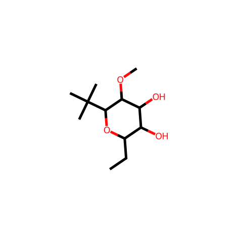 CCC1OC(C(C)(C)C)C(OC)C(O)C1O